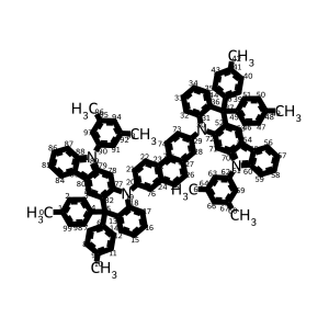 Cc1ccc(C2(c3ccc(C)cc3)c3ccccc3N(c3ccc4c(ccc5cc(N6c7ccccc7C(c7ccc(C)cc7)(c7ccc(C)cc7)c7cc8c9ccccc9n(-c9cc(C)cc(C)c9)c8cc76)ccc54)c3)c3cc4c(cc32)c2ccccc2n4-c2cc(C)cc(C)c2)cc1